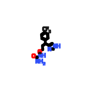 NC(=O)NOCCC(c1ccc(C(F)(F)F)cc1)c1c[nH]cn1